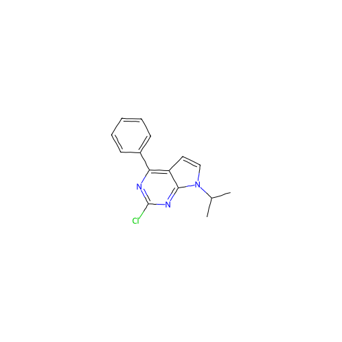 CC(C)n1ccc2c(-c3ccccc3)nc(Cl)nc21